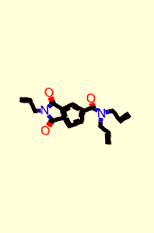 C=CCN(CC=C)C(=O)c1ccc2c(c1)C(=O)N(CC=C)C2=O